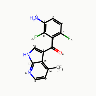 Nc1ccc(F)c(C(=O)c2c[nH]c3nccc(C(F)(F)F)c23)c1F